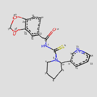 O=C(NC(=S)N1CCCCC1c1cccnc1)c1ccc2c(c1)OCO2